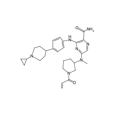 C=CC(=O)N1CCCC(N(C)c2cnc(C(N)=O)c(Nc3ccc(C4CCN(C5CC5)CC4)cc3)n2)C1